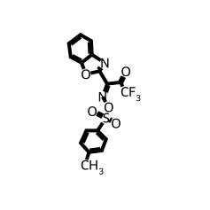 Cc1ccc(S(=O)(=O)O/N=C(\C(=O)C(F)(F)F)c2nc3ccccc3o2)cc1